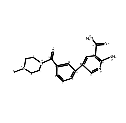 CN1CCN(C(=O)c2cccc(-c3cnc(N)c(C(N)=O)c3)c2)CC1